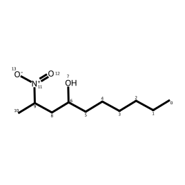 CCCCCCC(O)CC(C)[N+](=O)[O-]